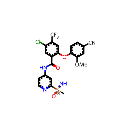 COc1cc(C#N)ccc1Oc1cc(C(F)(F)F)c(Cl)cc1C(=O)Nc1ccnc([S@](C)(=N)=O)c1